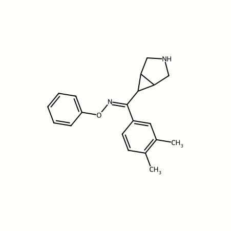 Cc1ccc(/C(=N\Oc2ccccc2)C2C3CNCC32)cc1C